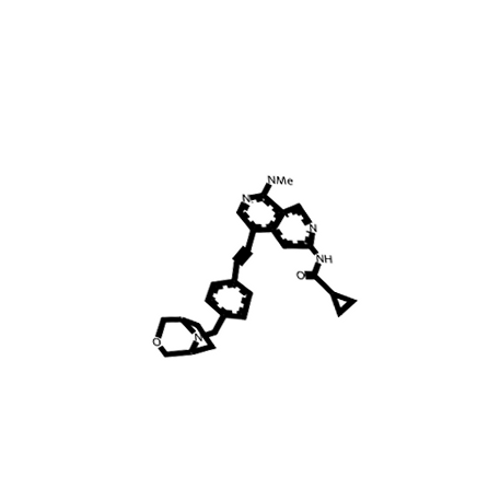 CNc1ncc(C#Cc2ccc(CN3C4CCC3COC4)cc2)c2cc(NC(=O)C3CC3)ncc12